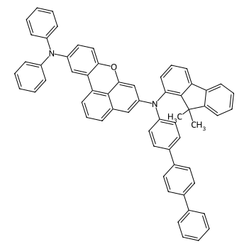 CC1(C)c2ccccc2-c2cccc(N(c3ccc(-c4ccc(-c5ccccc5)cc4)cc3)c3cc4c5c(cccc5c3)-c3cc(N(c5ccccc5)c5ccccc5)ccc3O4)c21